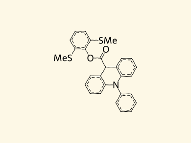 CSc1cccc(SC)c1OC(=O)C1c2ccccc2N(c2ccccc2)c2ccccc21